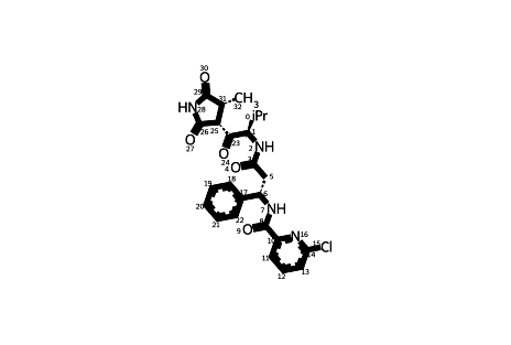 CC(C)[C@@H](NC(=O)C[C@H](NC(=O)c1cccc(Cl)n1)c1ccccc1)C(=O)[C@@H]1C(=O)NC(=O)[C@@H]1C